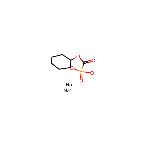 O=C(OC1CCCCC1)P(=O)([O-])[O-].[Na+].[Na+]